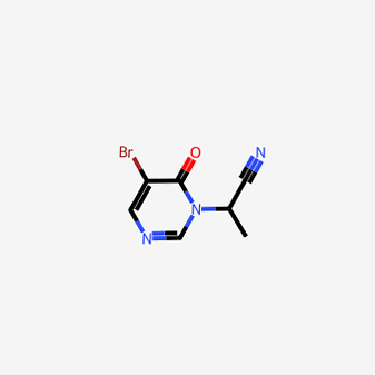 CC(C#N)n1cncc(Br)c1=O